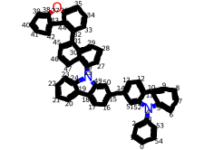 c1ccc(-n2c3ccccc3c3ccc(-c4ccc5c6ccccc6n(-c6cccc7c(-c8cccc9oc%10ccccc%10c89)cccc67)c5c4)cc32)cc1